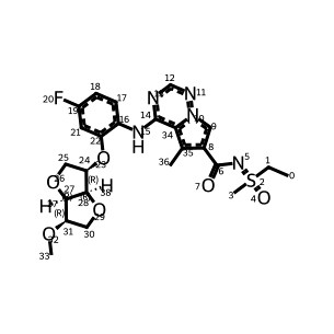 CCS(C)(=O)=NC(=O)c1cn2ncnc(Nc3ccc(F)cc3O[C@@H]3CO[C@H]4[C@@H]3OC[C@H]4OC)c2c1C